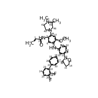 C=CC(=O)Nc1cc(Nc2cc(N3OCC[C@@H]3c3cccc(-c4cccc(F)c4F)c3)ncn2)c(OC)cc1N1CCN(C)[C@@H](C)C1